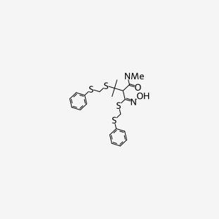 CNC(=O)C(C(=NO)SCSc1ccccc1)C(C)(C)SCSc1ccccc1